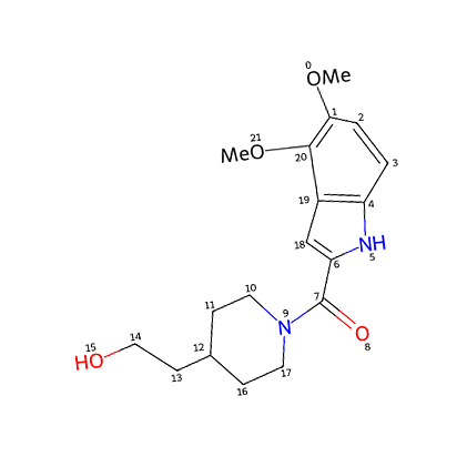 COc1ccc2[nH]c(C(=O)N3CCC(CCO)CC3)cc2c1OC